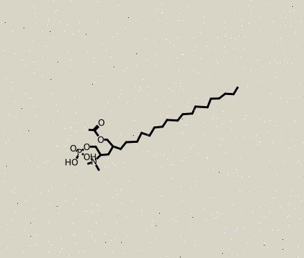 CCCCCCCCCCCCCCCCCCC(COC(C)=O)CC(COP(=O)(O)O)N(C)C